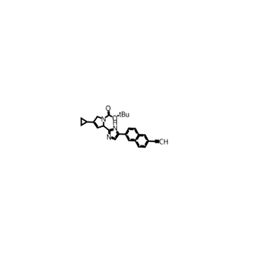 C#Cc1ccc2cc(-c3cnc(C4C=C(C5CC5)CN4C(=O)OC(C)(C)C)[nH]3)ccc2c1